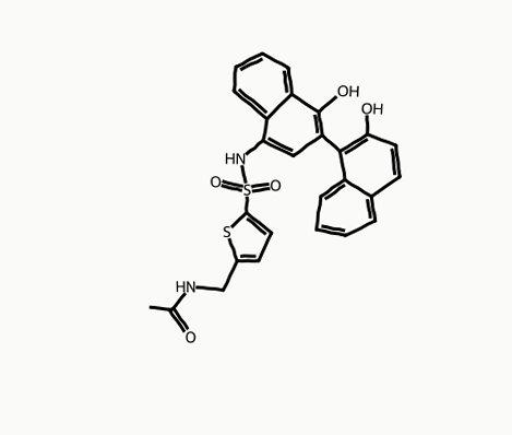 CC(=O)NCc1ccc(S(=O)(=O)Nc2cc(-c3c(O)ccc4ccccc34)c(O)c3ccccc23)s1